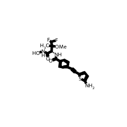 COC(C)(C(F)F)[C@H](NC(=O)c1ccc(C#Cc2ccc(N)s2)cc1)C(=O)NO